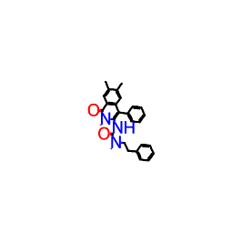 Cc1cc2c(-c3ccccc3)c(NC(=O)N(C)CCc3ccccc3)n(C)c(=O)c2cc1C